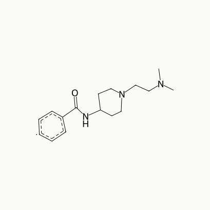 CN(C)CCN1CCC(NC(=O)c2cc[c]cc2)CC1